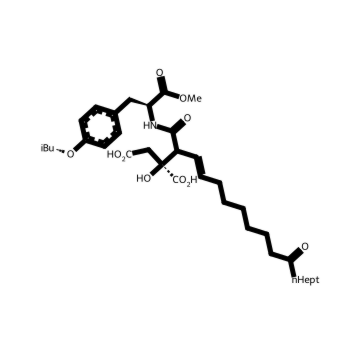 CCCCCCCC(=O)CCCCCC/C=C/C(C(=O)N[C@@H](Cc1ccc(O[C@@H](C)CC)cc1)C(=O)OC)[C@@](O)(CC(=O)O)C(=O)O